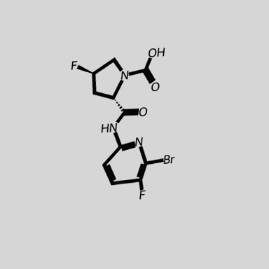 O=C(Nc1ccc(F)c(Br)n1)[C@@H]1C[C@@H](F)CN1C(=O)O